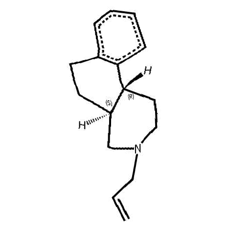 C=CCN1CC[C@H]2c3ccccc3CC[C@@H]2C1